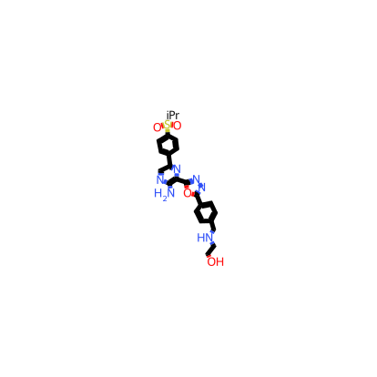 CC(C)S(=O)(=O)c1ccc(-c2cnc(N)c(-c3nnc(-c4ccc(CNCCO)cc4)o3)n2)cc1